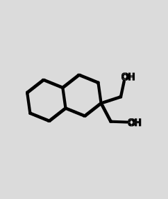 OCC1(CO)CCC2CCCCC2C1